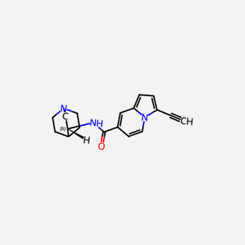 C#Cc1ccc2cc(C(=O)N[C@H]3CN4CCC3CC4)ccn12